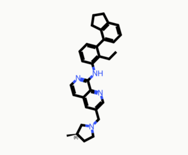 CCc1c(Nc2nccc3cc(CN4CC[C@@H](C)C4)cnc23)cccc1-c1cccc2c1CCC2